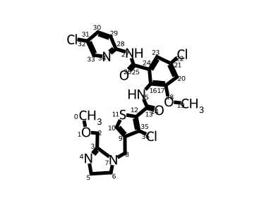 COCC1=NCCN1Cc1csc(C(=O)Nc2c(OC)cc(Cl)cc2C(=O)Nc2ccc(Cl)cn2)c1Cl